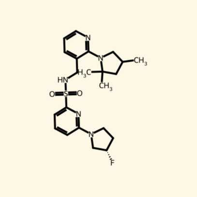 CC1CN(c2ncccc2CNS(=O)(=O)c2cccc(N3CC[C@H](F)C3)n2)C(C)(C)C1